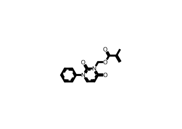 C=C(C)C(=O)OCn1c(=O)ccn(-c2ccccc2)c1=O